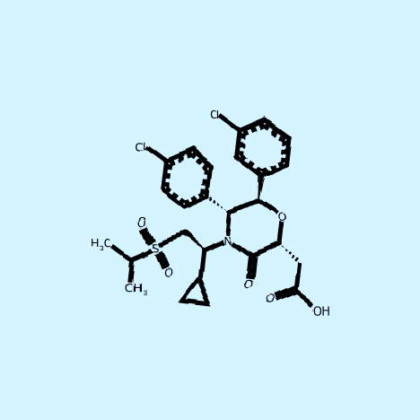 CC(C)S(=O)(=O)C[C@H](C1CC1)N1C(=O)[C@@H](CC(=O)O)O[C@H](c2cccc(Cl)c2)[C@H]1c1ccc(Cl)cc1